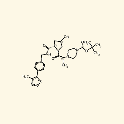 Cc1ncsc1-c1ccc(CNC(=O)[C@@H]2C[C@@H](O)CN2C(=O)[C@@H](C)N2CCN(C(=O)OC(C)(C)C)CC2)cc1